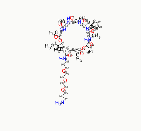 C/C=C(\C)[C@H]1OC(=O)[C@H](C)NC(=O)[C@H](C(C)CC)NC(=O)CN(C)C(=O)[C@@H](Cc2ccccc2)N(C)C(=O)[C@H](C)NC(=O)[C@@H](CC(C)C)OC(=O)/C(C)=C/C[C@H](CC(=O)NCCCOCCOCCOCCCN)[C@@H]1C